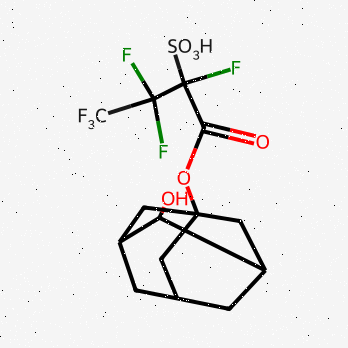 O=C(OC12CC3CC(C1)C(O)C(C3)C2)C(F)(C(F)(F)C(F)(F)F)S(=O)(=O)O